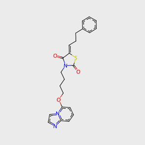 O=C1SC(=CCCc2ccccc2)C(=O)N1CCCCOc1cccc2nccn12